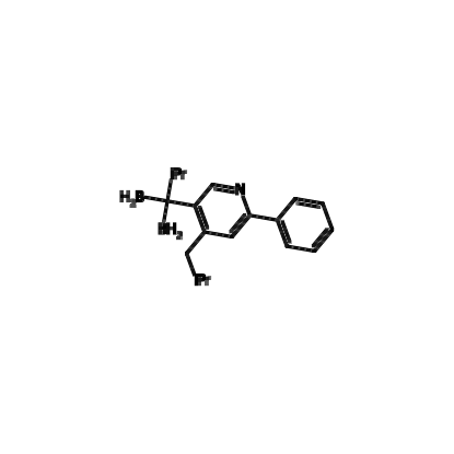 BC(B)(c1cnc(-c2ccccc2)cc1CC(C)C)C(C)C